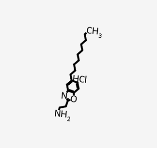 CCCCCCCCCCc1ccc2oc(CCN)nc2c1.Cl